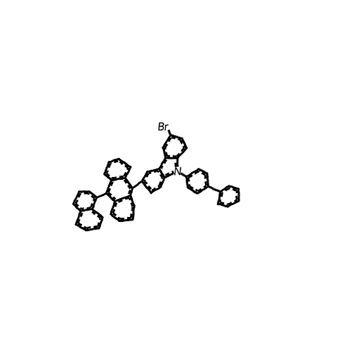 Brc1ccc2c(c1)c1cc(-c3c4ccccc4c(-c4cccc5ccccc45)c4ccccc34)ccc1n2-c1ccc(-c2ccccc2)cc1